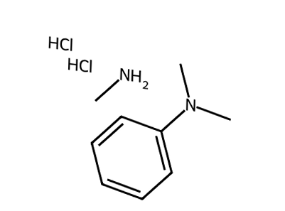 CN.CN(C)c1ccccc1.Cl.Cl